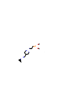 CCOP(CCCN1CCC(CNC2CC2)CC1)OCC